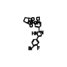 O=S(=O)(c1cc(-c2ncc(-c3ccc(Br)c(F)c3)[nH]2)ccc1Cl)N1C2CCC1CC(O)C2